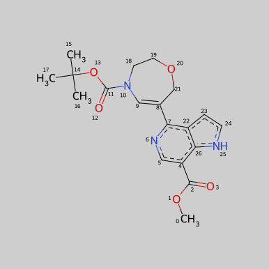 COC(=O)c1cnc(C2=CN(C(=O)OC(C)(C)C)CCOC2)c2cc[nH]c12